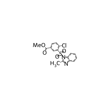 COC(=O)c1ccc(Cl)c(S(=O)(=O)n2c(C)nc3ccccc32)c1